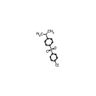 CC(C)c1ccc(S(=O)(=O)c2ccc(Cl)cc2)cc1